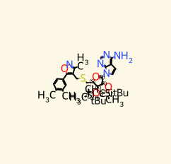 Cc1ccc(-c2onc(C)c2CSC[C@H]2O[C@@H](n3ccc4c(N)ncnc43)[C@H](O[Si](C)(C)C(C)(C)C)[C@@H]2O[Si](C)(C)C(C)(C)C)cc1C